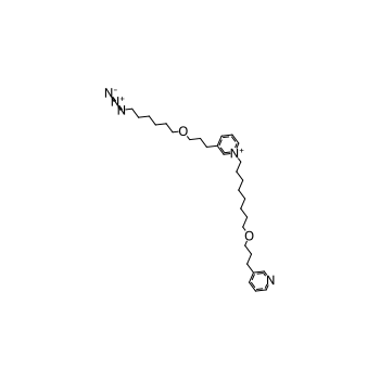 [N-]=[N+]=NCCCCCCOCCCc1ccc[n+](CCCCCCCCOCCCc2cccnc2)c1